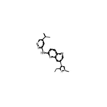 CCc1nn(C)cc1-c1cnc2ccc(Nc3cc(C(C)C)cnn3)nc2c1